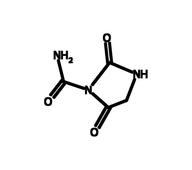 NC(=O)N1C(=O)CNC1=O